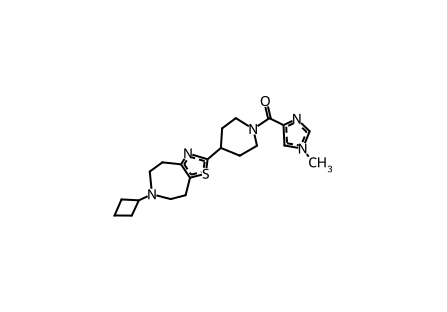 Cn1cnc(C(=O)N2CCC(c3nc4c(s3)CCN(C3CCC3)CC4)CC2)c1